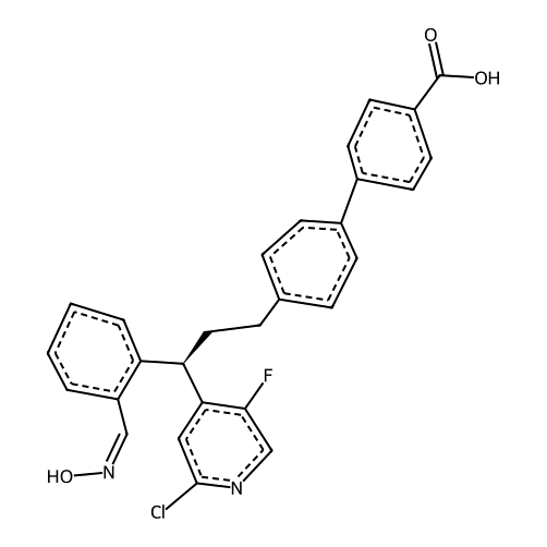 O=C(O)c1ccc(-c2ccc(CC[C@@H](c3cc(Cl)ncc3F)c3ccccc3/C=N\O)cc2)cc1